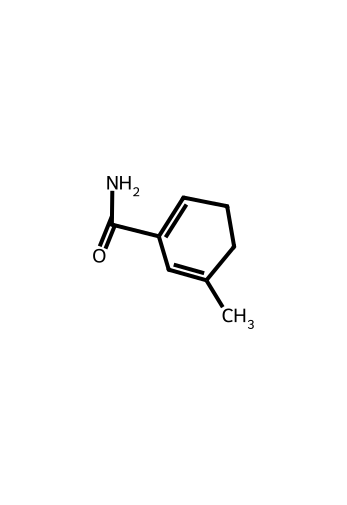 CC1=CC(C(N)=O)=CCC1